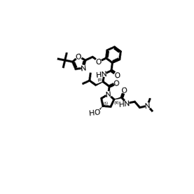 CC(C)C[C@@H](NC(=O)c1ccccc1OCc1ncc(C(C)(C)C)o1)C(=O)N1C[C@@H](O)C[C@@H]1C(=O)NCCN(C)C